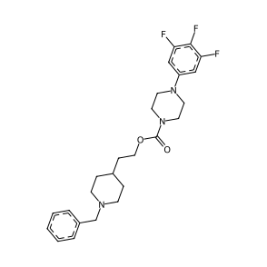 O=C(OCCC1CCN(Cc2ccccc2)CC1)N1CCN(c2cc(F)c(F)c(F)c2)CC1